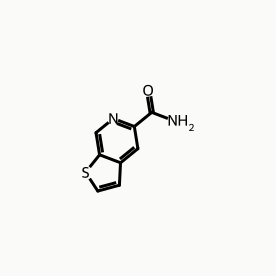 NC(=O)c1cc2ccsc2cn1